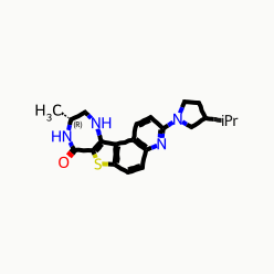 CC(C)C1CCN(c2ccc3c(ccc4sc5c(c43)NC[C@@H](C)NC5=O)n2)C1